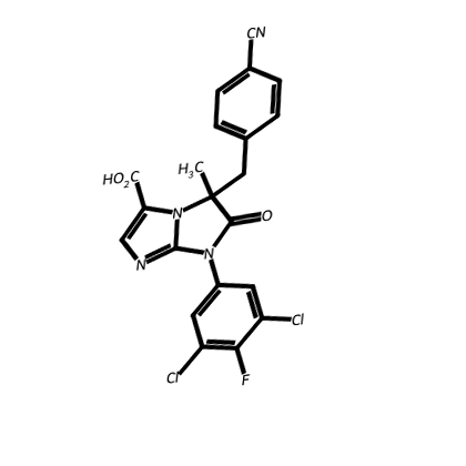 CC1(Cc2ccc(C#N)cc2)C(=O)N(c2cc(Cl)c(F)c(Cl)c2)c2ncc(C(=O)O)n21